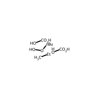 CCC.CCCCOO.O=C(O)O.O=C(O)O